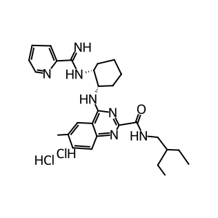 CCC(CC)CNC(=O)c1nc(N[C@H]2CCCC[C@H]2NC(=N)c2ccccn2)c2cc(C)ccc2n1.Cl.Cl